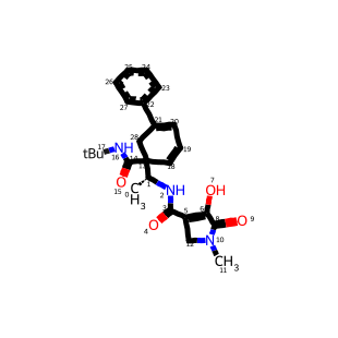 C[C@@H](NC(=O)C1=C(O)C(=O)N(C)C1)C1(C(=O)NC(C)(C)C)C=CC=C(c2ccccc2)C1